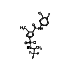 Cc1sc(S(=O)(=O)NC(C)C(F)(F)F)cc1C(=O)Nc1ccc(F)c(Cl)c1